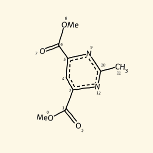 COC(=O)c1cc(C(=O)OC)nc(C)n1